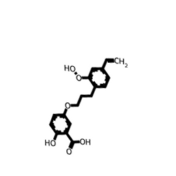 C=Cc1ccc(CCCOc2ccc(O)c(C(=O)O)c2)c(OO)c1